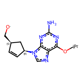 CC(C)Oc1nc(N)nc2c1ncn2[C@H]1C=C[C@@H](C[O])C1